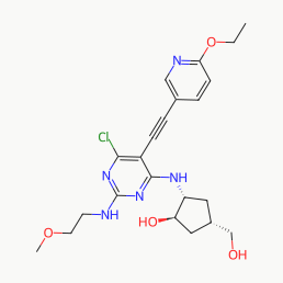 CCOc1ccc(C#Cc2c(Cl)nc(NCCOC)nc2N[C@@H]2C[C@H](CO)C[C@H]2O)cn1